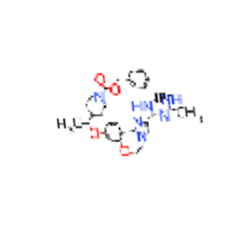 CC(=N)/N=C(\NC(C)C)c1cn2c(n1)-c1ccc(OC(C)C3CCN(C(=O)OCc4ccccc4)CC3)cc1OCC2